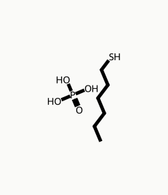 CCCCCCS.O=P(O)(O)O